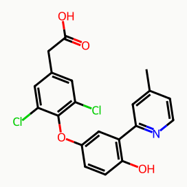 Cc1ccnc(-c2cc(Oc3c(Cl)cc(CC(=O)O)cc3Cl)ccc2O)c1